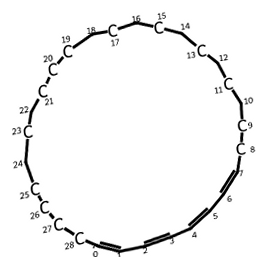 [C]1=C/C=C\C=C/C=C\CCCCCCCCCCCCCCCCCCCCC\1